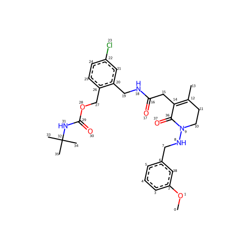 COc1cccc(CNN2CCC(C)=C(CC(=O)NCc3cc(Cl)ccc3COC(=O)NC(C)(C)C)C2=O)c1